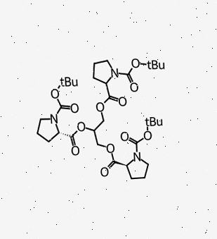 CC(C)(C)OC(=O)N1CCCC1C(=O)OCC(COC(=O)[C@@H]1CCCN1C(=O)OC(C)(C)C)OC(=O)[C@@H]1CCCN1C(=O)OC(C)(C)C